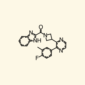 Cc1cc(-c2nccnc2C2CN(C(=O)c3nc4ccccc4[nH]3)C2)ccc1F